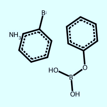 N.OB(O)Oc1ccccc1.[B]c1ccccc1